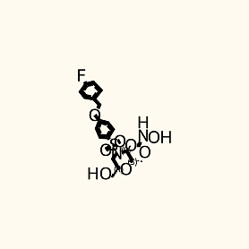 C[C@@H]1O[C@@H](CO)CN(S(=O)(=O)c2ccc(OCc3ccc(F)cc3)cc2)[C@@H]1OC(=O)NO